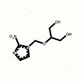 O=[N+]([O-])c1nccn1COC(CO)CO